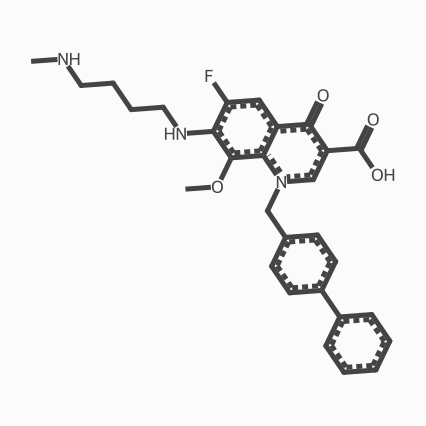 CNCCCCNc1c(F)cc2c(=O)c(C(=O)O)cn(Cc3ccc(-c4ccccc4)cc3)c2c1OC